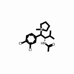 CC(=O)N[C@@H](C(C)C)C(c1ccc(Cl)c(Cl)c1)[N+]1(C)CCCC1